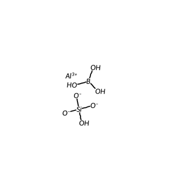 OB(O)O.[Al+3].[O-][Si]([O-])([O-])O